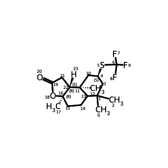 CC1(C)C[C@H](SC(F)(F)F)C[C@@]2(C)C1CC[C@@]1(C)OC(=O)C[C@@H]12